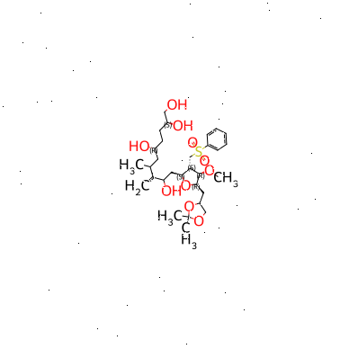 C=C(C(C)C[C@H](O)CC[C@H](O)CO)C(O)C[C@@H]1O[C@H](CC2COC(C)(C)O2)[C@H](OC)[C@H]1CS(=O)(=O)c1ccccc1